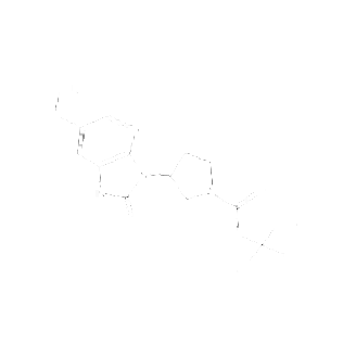 COc1cnc2c(c1)[nH]c(=O)n2C1CCN(C(=O)OC(C)(C)C)C1